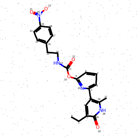 CCc1cc(-c2cccc(OC(=O)NCCc3ccc([N+](=O)[O-])cc3)n2)c(C)[nH]c1=O